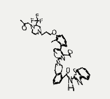 CC(=O)CN1CCN(CCCOc2cccc(-c3ccc(N4CCc5cccc(C(=O)Nc6nc7ccccc7s6)c5C4)nc3C(C)=O)c2C)CC1C(F)(F)F